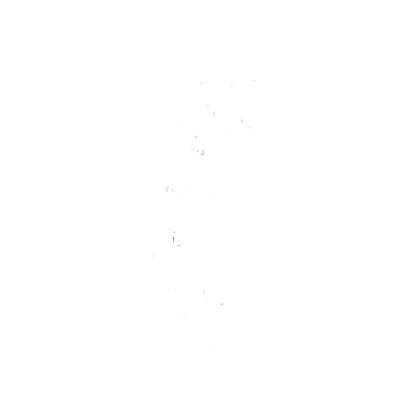 COc1ccc([C@]2(O)CC[C@H](N3CC(NC(=O)CNC(=O)c4cccc(C(F)(F)F)c4)C3)CC2)cc1